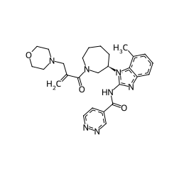 C=C(CN1CCOCC1)C(=O)N1CCCC[C@@H](n2c(NC(=O)c3ccnnc3)nc3cccc(C)c32)C1